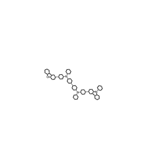 c1ccc(N(c2ccc(-c3ccc(N(c4ccccc4)c4ccc(-c5ccc6c(c5)c5ccccc5n6-c5ccccc5)cc4)cc3)cc2)c2ccc(-c3ccc4oc5ccccc5c4c3)cc2)cc1